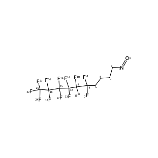 O=NCCCCC(F)(F)C(F)(F)C(F)(F)C(F)(F)C(F)(F)C(F)(F)F